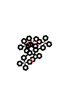 c1ccc([Si](c2ccccc2)(c2ccccc2)c2cccc(-c3cc(-c4cccc([Si](c5ccccc5)(c5ccccc5)c5ccccc5)c4)cc(C4(c5cc(-c6cccc([Si](c7ccccc7)(c7ccccc7)c7ccccc7)c6)cc(-c6cccc([Si](c7ccccc7)(c7ccccc7)c7ccccc7)c6)c5)c5ccccc5-c5ccccc54)c3)c2)cc1